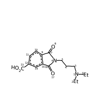 CCN(CC)CCCN1C(=O)c2ccc(C(=O)O)cc2C1=O